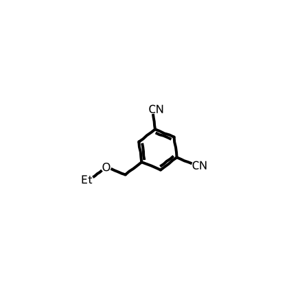 CCOCc1cc(C#N)cc(C#N)c1